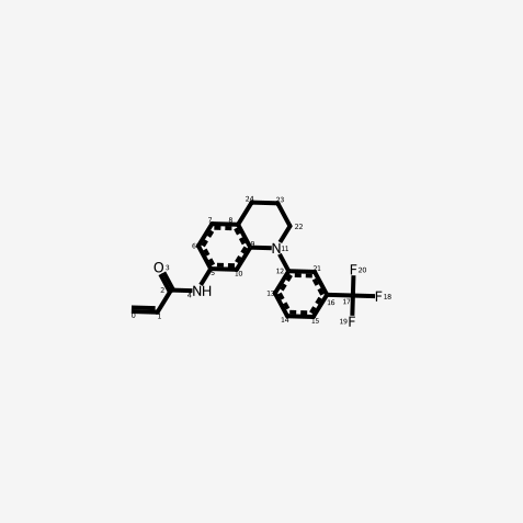 C=CC(=O)Nc1ccc2c(c1)N(c1cccc(C(F)(F)F)c1)CCC2